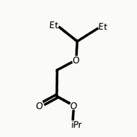 CCC(CC)OCC(=O)OC(C)C